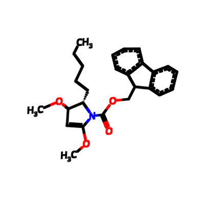 CCCCC[C@H]1C(OC)C=C(OC)N1C(=O)OCC1c2ccccc2-c2ccccc21